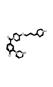 O=C(c1ccc(Cl)c(N2C=CCNC2)c1)N1CCC(OCCCC2CCNCC2)CC1